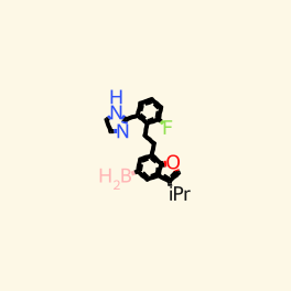 Bc1cc(CCc2c(F)cccc2C2=NCCN2)c2occ(C(C)C)c2c1